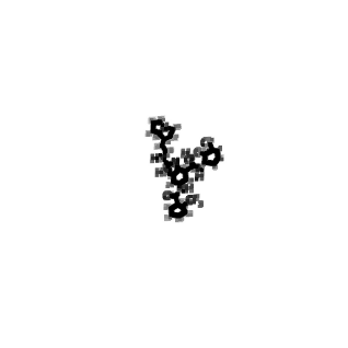 Cc1c(Cl)cccc1NC(=O)c1cc(NC(=O)c2ccccc2C(F)(F)F)cc2[nH]c(NCCC3C=Cn4cccc43)nc12